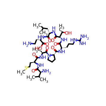 CSCC[C@H](NC(=O)[C@@H](N)C(C)C)C(=O)N[C@@H](C)C(=O)N1CCC[C@H]1C(=O)N[C@@H](CCCNC(=N)N)C(=O)N[C@H](C(=O)N[C@@H](CC(C)C)C(=O)N[C@@H](CCN)C(=O)O)[C@@H](C)O